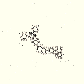 c1ccc(-c2cc(-c3ccc(-c4ccc5ccc(-c6ccc(-c7cccc8cccnc78)cc6)cc5c4)cc3)nc(-c3ccccc3)n2)cc1